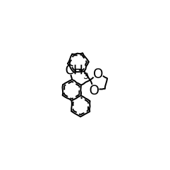 Cc1ccc2ccccc2c1C1(c2ccccc2)OCCO1